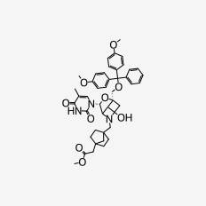 COC(=O)CC12CCC(CN3C4C5C3(O)C[C@]5(COC(c3ccccc3)(c3ccc(OC)cc3)c3ccc(OC)cc3)O[C@H]4n3cc(C)c(=O)[nH]c3=O)(CC1)C2